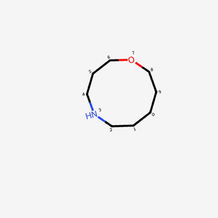 C1CCNCCCOCC1